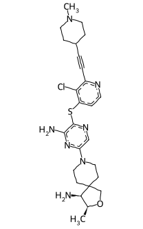 C[C@@H]1OCC2(CCN(c3cnc(Sc4ccnc(C#CC5CCN(C)CC5)c4Cl)c(N)n3)CC2)[C@@H]1N